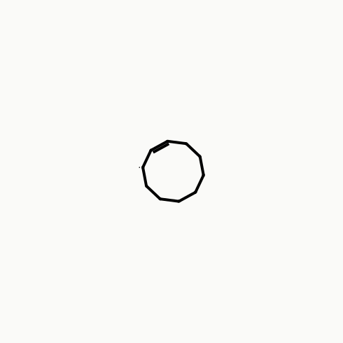 [CH]1C=CCCCCCCC1